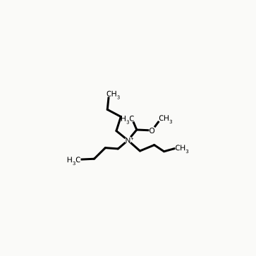 CCCC[N+](CCCC)(CCCC)C(C)OC